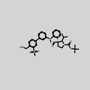 CC(C)C1N(C(=O)OC(C)(C)C)CC[C@]1(C=O)c1ccccc1N(I)c1cccc(-c2ccc(CO)c(S(C)(=O)=O)c2)c1